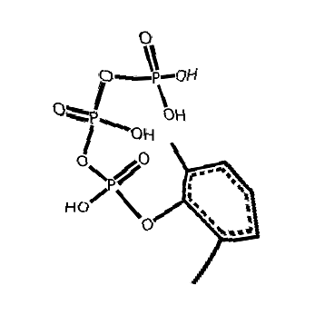 Cc1cccc(C)c1OP(=O)(O)OP(=O)(O)OP(=O)(O)O